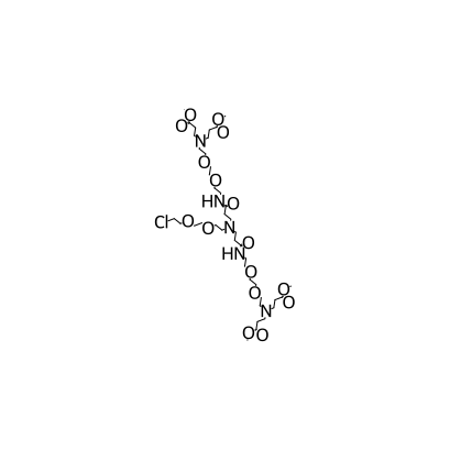 COC(=O)CCN(CCOCCOCCNC(=O)CCN(CCOCCOCCCl)CCC(=O)NCCOCCOCCN(CCC(=O)OC)CCC(=O)OC)CCC(=O)OC